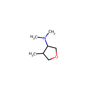 CC1COCC1N(C)C